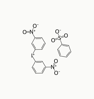 O=S(=O)([O-])c1ccccc1.O=[N+]([O-])c1cccc([I+]c2cccc([N+](=O)[O-])c2)c1